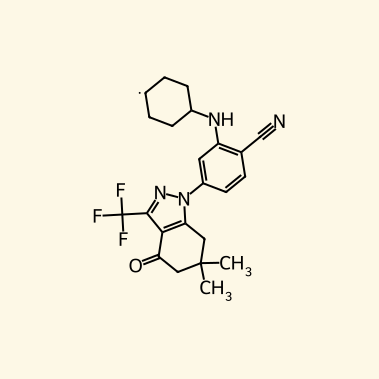 CC1(C)CC(=O)c2c(C(F)(F)F)nn(-c3ccc(C#N)c(NC4CC[CH]CC4)c3)c2C1